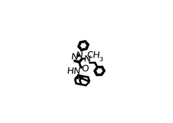 CN(CCc1ccccc1)c1c(C(=O)NC2C3CC4CC(C3)CC2C4)cnn1-c1ccccc1